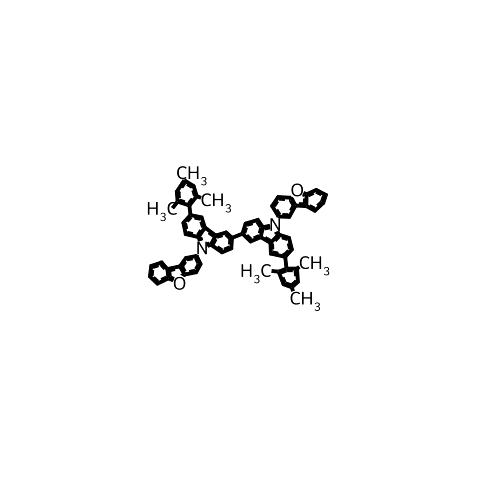 Cc1cc(C)c(-c2ccc3c(c2)c2cc(-c4ccc5c(c4)c4cc(-c6c(C)cc(C)cc6C)ccc4n5-c4ccc5oc6ccccc6c5c4)ccc2n3-c2ccc3oc4ccccc4c3c2)c(C)c1